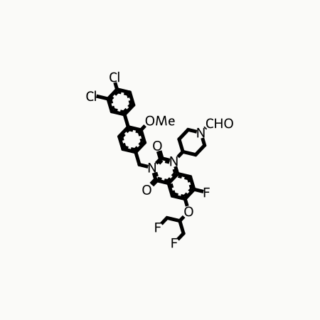 COc1cc(Cn2c(=O)c3cc(OC(CF)CF)c(F)cc3n(C3CCN(C=O)CC3)c2=O)ccc1-c1ccc(Cl)c(Cl)c1